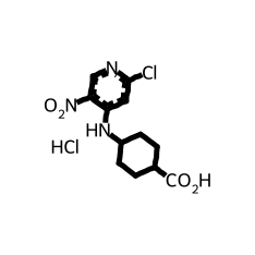 Cl.O=C(O)C1CCC(Nc2cc(Cl)ncc2[N+](=O)[O-])CC1